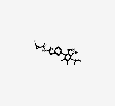 CCN(C)c1c(F)c(C)c(-c2ccn3nc(NC(=O)C4CC4F)cc3c2)c2cn[nH]c12